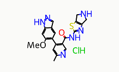 COc1cc2[nH]ncc2cc1-c1cc(C)ncc1C(=O)Nc1nc2c(s1)CNC2.Cl